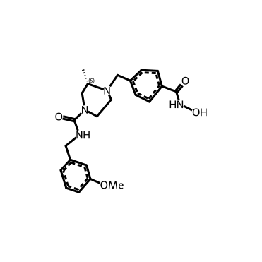 COc1cccc(CNC(=O)N2CCN(Cc3ccc(C(=O)NO)cc3)[C@@H](C)C2)c1